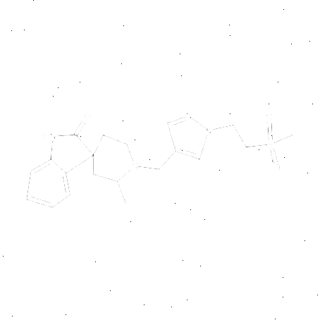 CC1CC2(CCN1Cc1cnn(CCS(C)(=O)=O)c1)C(=O)Nc1ccccc12